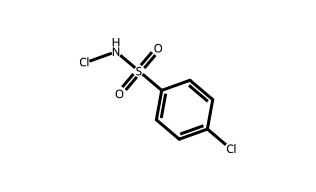 O=S(=O)(NCl)c1ccc(Cl)cc1